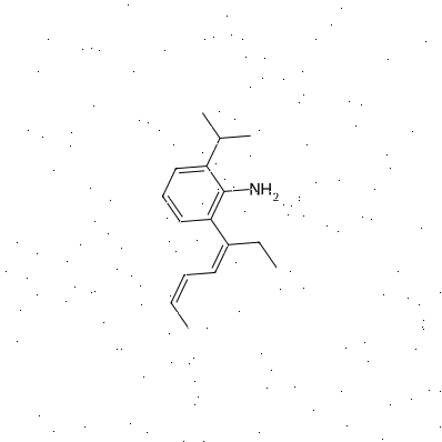 C/C=C\C=C(\CC)c1cccc(C(C)C)c1N